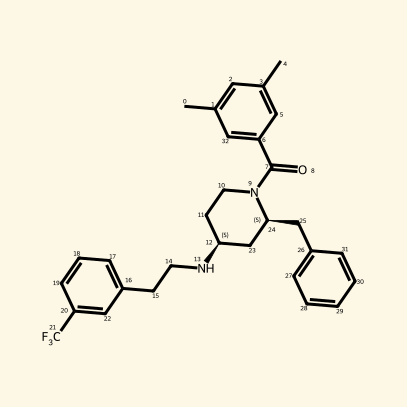 Cc1cc(C)cc(C(=O)N2CC[C@H](NCCc3cccc(C(F)(F)F)c3)C[C@@H]2Cc2ccccc2)c1